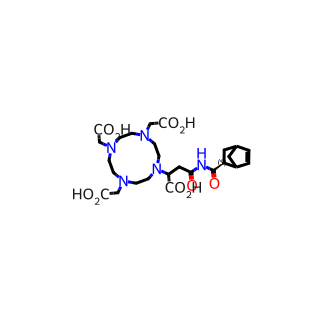 O=C(O)CN1CCN(CC(=O)O)CCN(C(CC(=O)NC(=O)[C@H]2CC3C=CC2C3)C(=O)O)CCN(CC(=O)O)CC1